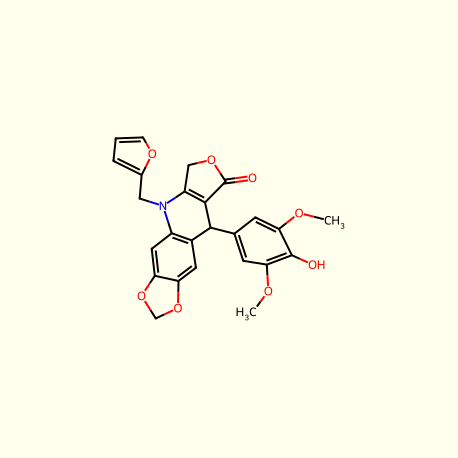 COc1cc(C2C3=C(COC3=O)N(Cc3ccco3)c3cc4c(cc32)OCO4)cc(OC)c1O